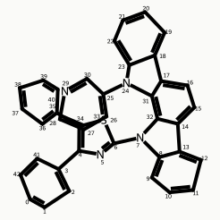 c1ccc(-c2nc(-n3c4ccccc4c4ccc5c6ccccc6n(-c6cccnc6)c5c43)sc2-c2ccccc2)cc1